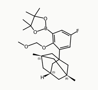 COCOc1c(B2OC(C)(C)C(C)(C)O2)cc(F)cc1C12C[C@@H]3C[C@@](C)(C1)C[C@](C)(C3)C2